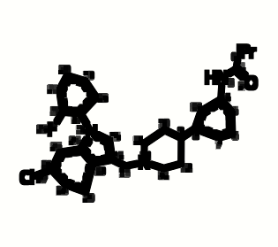 CC(C)C(=O)Nc1cccc(C2CCN(Cc3cn(-c4ccccc4F)c4cc(Cl)ccc34)CC2)c1